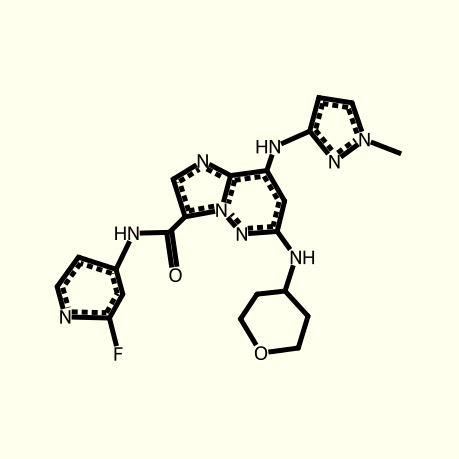 Cn1ccc(Nc2cc(NC3CCOCC3)nn3c(C(=O)Nc4ccnc(F)c4)cnc23)n1